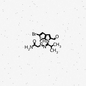 CC(C)/C(=N/N(C)CC(N)=O)n1c(C=O)cc2cc(Br)sc21